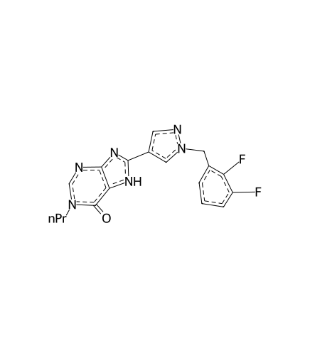 CCCn1cnc2nc(-c3cnn(Cc4cccc(F)c4F)c3)[nH]c2c1=O